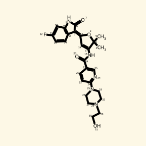 CC1(C)OC(=C2C(=O)Nc3cc(F)ccc32)C=C1NC(=O)c1ccc(N2CCN(CCO)CC2)nc1